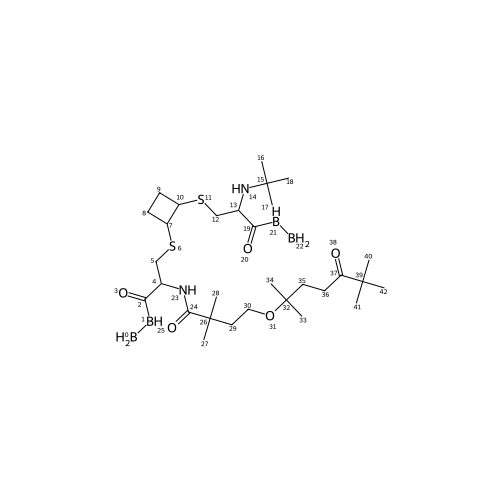 BBC(=O)C(CSC1CCC1SCC(NC(C)(C)C)C(=O)BB)NC(=O)C(C)(C)CCOC(C)(C)CCC(=O)C(C)(C)C